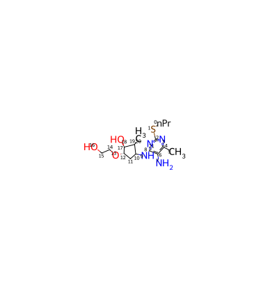 CCCSc1nc(C)c(N)c(NC2C[C@H](OCCO)[C@@H](O)[C@H]2C)n1